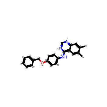 Cc1cc2ncnc(Nc3ccc(OCc4ccccc4)cc3)c2cc1C